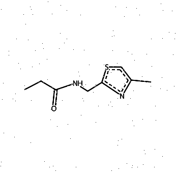 CCC(=O)NCc1nc(C)cs1